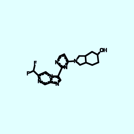 OC1CCC2CN(c3ccnc(-c4cnc5cnc(C(F)F)cn45)n3)CC2C1